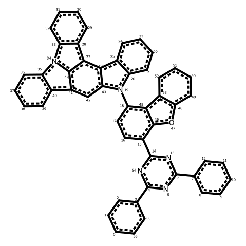 c1ccc(-c2nc(-c3ccccc3)nc(-c3ccc(-n4c5ccccc5c5c6c7ccccc7n7c8ccccc8c(cc54)c67)c4c3oc3ccccc34)n2)cc1